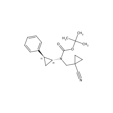 CC(C)(C)OC(=O)N(CC1(C#N)CC1)[C@@H]1C[C@H]1c1ccccc1